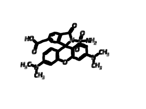 CN(C)c1ccc2c(c1)Oc1cc(N(C)C)ccc1C21c2cc(C(=O)O)ccc2C(=O)N1S(N)(=O)=O